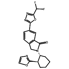 O=C1c2cc(-c3nnc(C(F)F)o3)ccc2CN1[C@@H]1CCCC[C@H]1c1ncco1